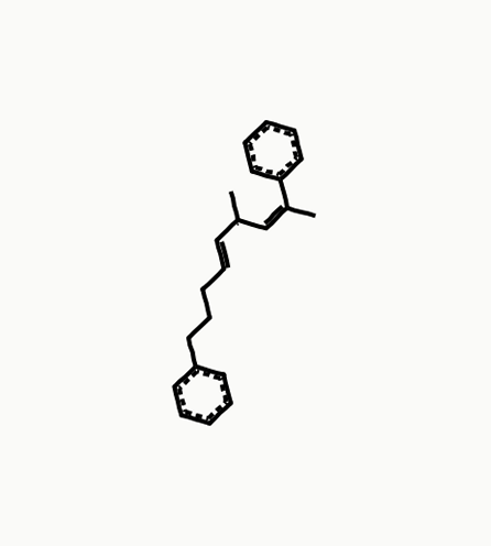 C[C](C=CCCCc1ccccc1)C=C(C)c1ccccc1